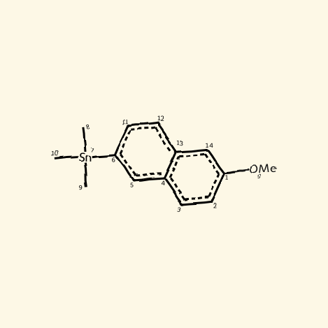 COc1ccc2c[c]([Sn]([CH3])([CH3])[CH3])ccc2c1